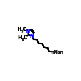 CCCCCCCCCCCCCCCCN1C=CN(C)[C@@H]1C